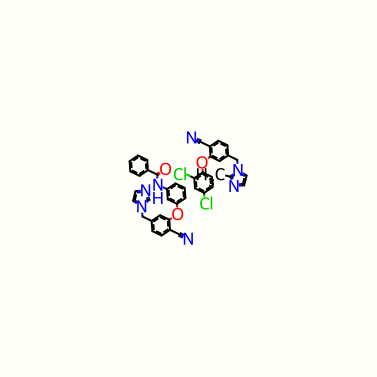 Cc1nccn1Cc1ccc(C#N)c(Oc2ccc(Cl)cc2Cl)c1.N#Cc1ccc(Cn2ccnc2)cc1Oc1cccc(NC(=O)c2ccccc2)c1